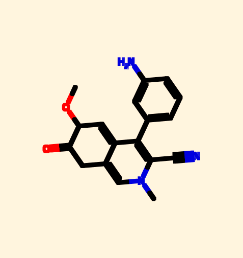 COC1C=C2C(=CN(C)C(C#N)=C2c2cccc(N)c2)CC1=O